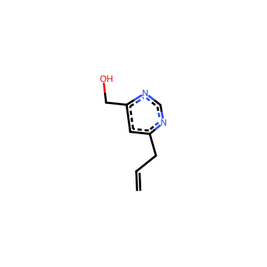 C=CCc1cc(CO)ncn1